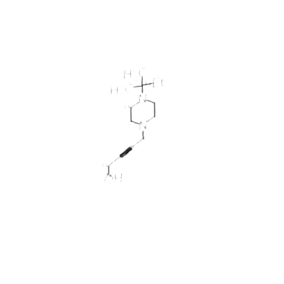 CCC(C)(C)N1CCN(CC#CCO)CC1